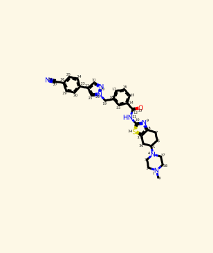 CN1CCN(C2CCc3nc(NC(=O)c4cccc(Cn5cc(-c6ccc(C#N)cc6)cn5)c4)sc3C2)CC1